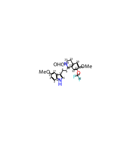 COc1ccc2[nH]cc(CC[C@H]3c4cc(OC(F)F)c(OC)cc4CCN3C=O)c2c1